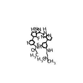 CCC(=O)Nc1cncc(-c2ccc3[nH]nc(-c4nc5c(-c6cc(F)cc(NCCN(C)C)c6)ccnc5[nH]4)c3c2F)c1